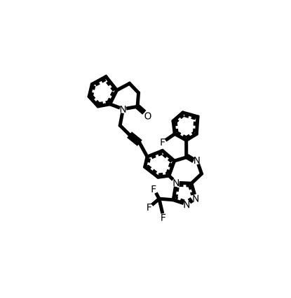 O=C1CCc2ccccc2N1CC#Cc1ccc2c(c1)C(c1ccccc1F)=NCc1nnc(C(F)(F)F)n1-2